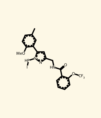 COc1ccc(C)cc1-c1cc(CNC(=O)c2ccccc2OC(F)(F)F)nn1PI